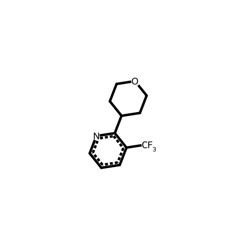 FC(F)(F)c1cccnc1[C]1CCOCC1